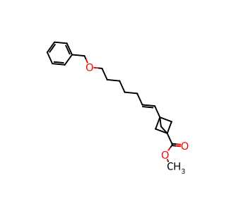 COC(=O)C12CC(C=CCCCCCOCc3ccccc3)(C1)C2